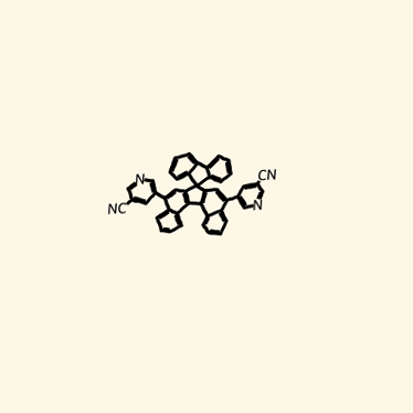 N#Cc1cncc(-c2cc3c(c4ccccc24)-c2c(cc(-c4cncc(C#N)c4)c4ccccc24)C32c3ccccc3-c3ccccc32)c1